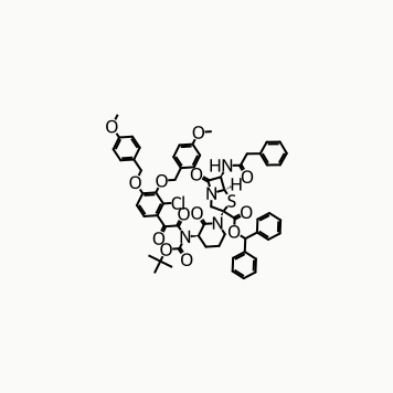 COc1ccc(COc2ccc(C(=O)C(=O)N(C(=O)OC(C)(C)C)[C@@H]3CCCN([C@]4(C(=O)OC(c5ccccc5)c5ccccc5)CN5C(=O)[C@@H](NC(=O)Cc6ccccc6)[C@H]5S4)C3=O)c(Cl)c2OCc2ccc(OC)cc2)cc1